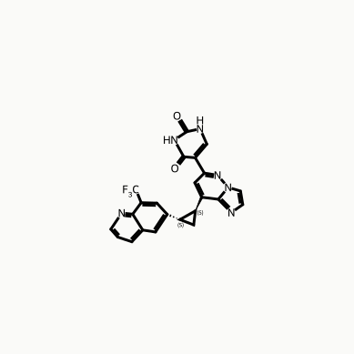 O=c1[nH]cc(-c2cc([C@H]3C[C@@H]3c3cc(C(F)(F)F)c4ncccc4c3)c3nccn3n2)c(=O)[nH]1